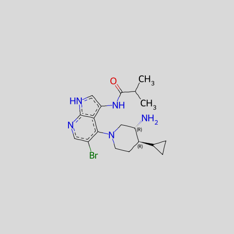 CC(C)C(=O)Nc1c[nH]c2ncc(Br)c(N3CC[C@H](C4CC4)[C@@H](N)C3)c12